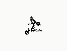 COC1C[C@H](OC(=O)c2cccnc2)CC(/C=C/c2c(-c3ccc(F)cc3)nc(N(C)S(C)(=O)=O)nc2C(C)C)O1